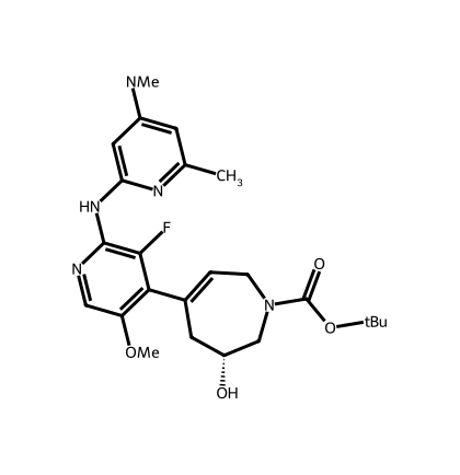 CNc1cc(C)nc(Nc2ncc(OC)c(C3=CCN(C(=O)OC(C)(C)C)C[C@H](O)C3)c2F)c1